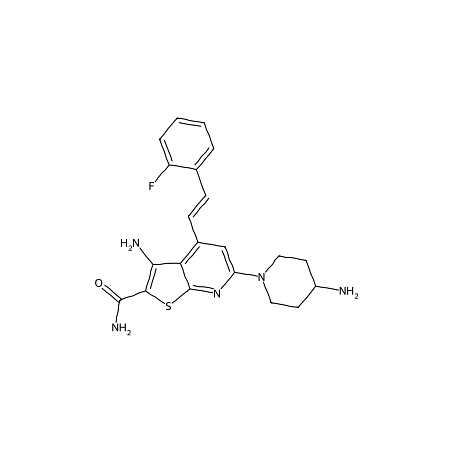 NC(=O)c1sc2nc(N3CCC(N)CC3)cc(C=Cc3ccccc3F)c2c1N